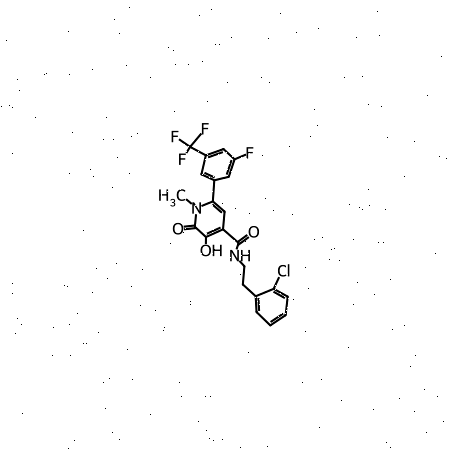 Cn1c(-c2cc(F)cc(C(F)(F)F)c2)cc(C(=O)NCCc2ccccc2Cl)c(O)c1=O